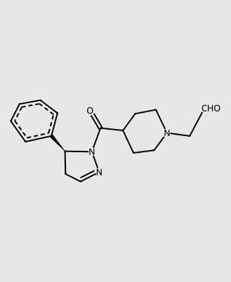 O=CCN1CCC(C(=O)N2N=CC[C@H]2c2ccccc2)CC1